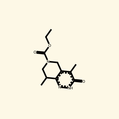 CCOC(=O)N1Cc2c(n[nH]c(=O)c2C)C(C)C1